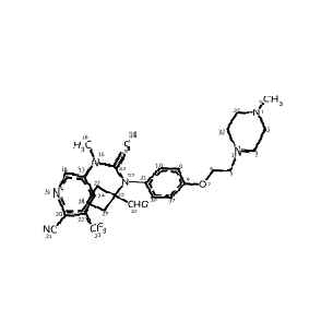 CN1CCN(CCOc2ccc(N(C(=S)N(C)c3cnc(C#N)c(C(F)(F)F)c3)C3(C=O)CCC3)cc2)CC1